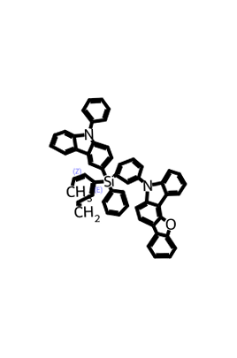 C=C/C=C(\C=C/C)[Si](c1ccccc1)(c1cccc(-n2c3ccccc3c3c4oc5ccccc5c4ccc32)c1)c1ccc2c(c1)c1ccccc1n2-c1ccccc1